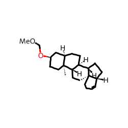 COCO[C@@H]1CC[C@@]2(C)[C@H](CC[C@@H]3[C@@H]2CC[C@@]24CCC=C[C@H]2CC[C@@H]34)C1